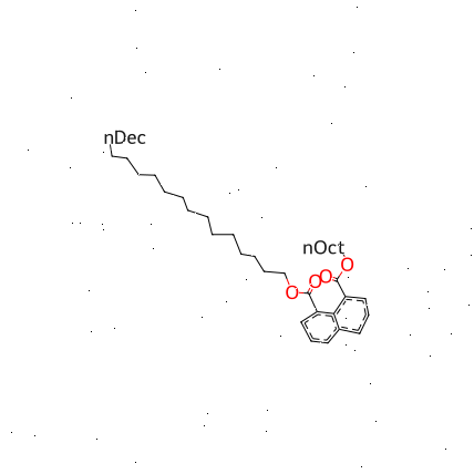 CCCCCCCCCCCCCCCCCCCCCCCCOC(=O)c1cccc2cccc(C(=O)OCCCCCCCC)c12